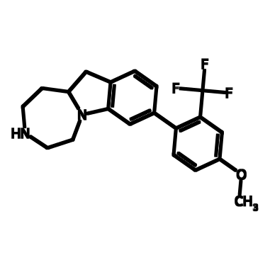 COc1ccc(-c2ccc3c(c2)N2CCNCCC2C3)c(C(F)(F)F)c1